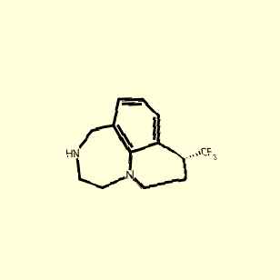 FC(F)(F)[C@@H]1CCN2CCNCc3cccc1c32